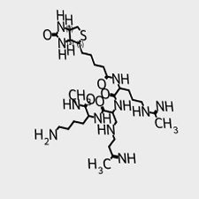 CNC(=O)C(CCCCN)NC(=O)C(CNCCC(C)=N)NC(=O)C(CCCNC(C)=N)NC(=O)CCCC[C@@H]1SC[C@@H]2NC(=O)N[C@@H]21